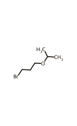 CC(C)OCCCBr